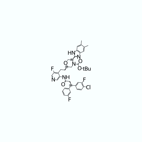 Cc1cc2nc([C@@H]3CO[C@H](CCc4c(F)cncc4NC(=O)C[C@H](c4cccc(F)c4)c4ccc(Cl)c(F)c4)CN3C(=O)OC(C)(C)C)[nH]c2cc1C